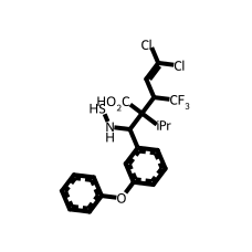 CC(C)C(C(=O)O)(C(NS)c1cccc(Oc2ccccc2)c1)C(C=C(Cl)Cl)C(F)(F)F